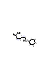 C=C(N)/C=C\C=C/Nc1ccccc1